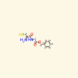 N[C@@H](CS)C(=O)NCC(=O)OCc1ccccc1